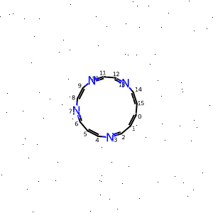 C1=CC=NC=CC=NC=CN=CC=NC=C1